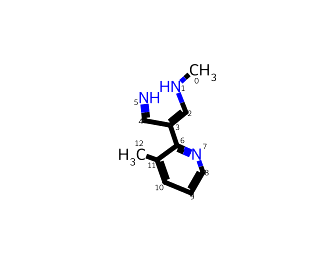 CN/C=C(\C=N)c1ncccc1C